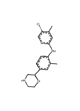 Cc1cc(Nc2ccc(C3CNCCO3)cc2C)ncc1Cl